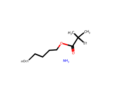 CCCCCCCCCCCCOC(=O)C(C)(C)CC.N